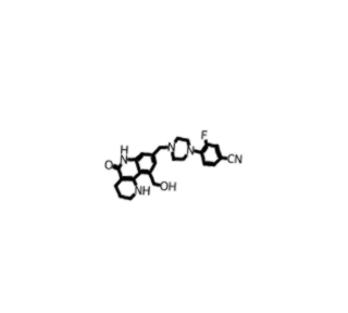 N#Cc1ccc(N2CCN(Cc3cc(CO)c4c5c(c(=O)[nH]c4c3)CCCN5)CC2)c(F)c1